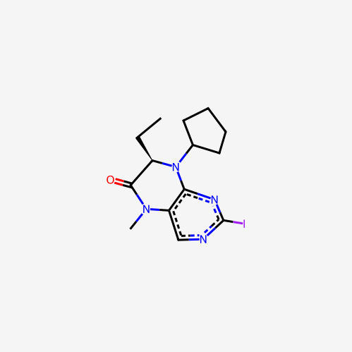 CC[C@@H]1C(=O)N(C)c2cnc(I)nc2N1C1CCCC1